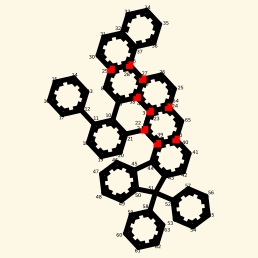 c1ccc(-c2ccccc2-c2c(-c3ccccc3)cccc2N(c2cccc(-c3cccc4ccccc34)c2)c2cccc3c2-c2ccccc2C3(c2ccccc2)c2ccccc2)cc1